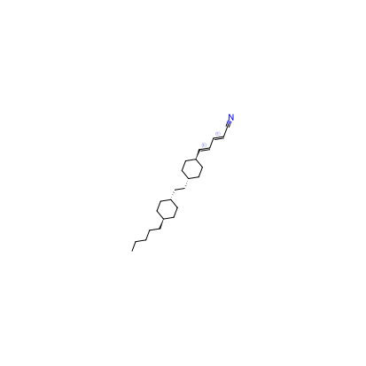 CCCCC[C@H]1CC[C@H](CC[C@H]2CC[C@H](/C=C/C=C/C#N)CC2)CC1